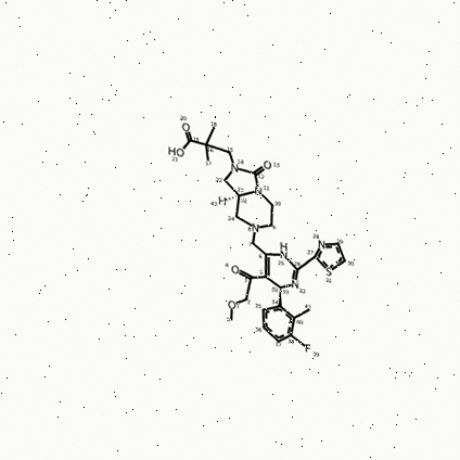 COCC(=O)C1=C(CN2CCN3C(=O)N(CC(C)(C)C(=O)O)C[C@@H]3C2)NC(c2nccs2)=N[C@H]1c1cccc(F)c1C